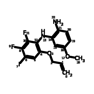 C=CCOc1cc(I)c(F)c(F)c1Nc1cc(OC)ccc1N